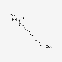 C=CNC(=O)OCCCCCCCCCCCCCCCC